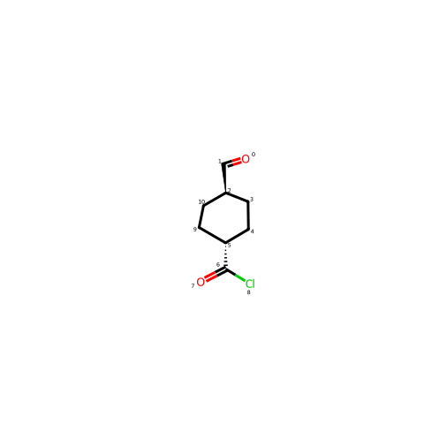 O=C[C@H]1CC[C@H](C(=O)Cl)CC1